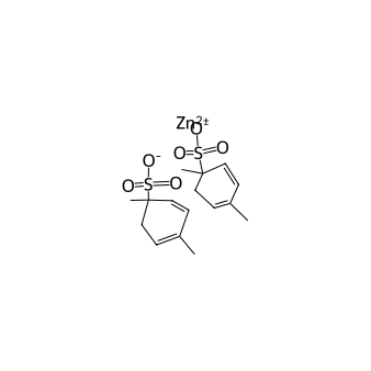 CC1=CCC(C)(S(=O)(=O)[O-])C=C1.CC1=CCC(C)(S(=O)(=O)[O-])C=C1.[Zn+2]